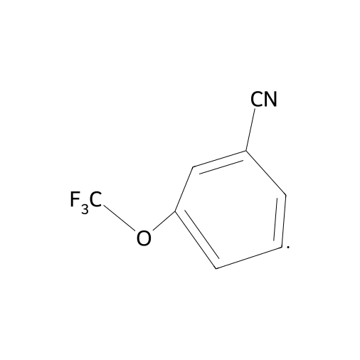 N#Cc1c[c]cc(OC(F)(F)F)c1